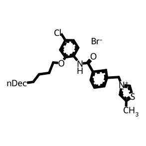 CCCCCCCCCCCCCCOc1cc(Cl)ccc1NC(=O)c1cccc(C[n+]2csc(C)c2)c1.[Br-]